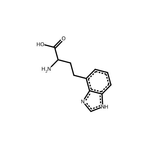 NC(CCc1cccc2[nH]cnc12)C(=O)O